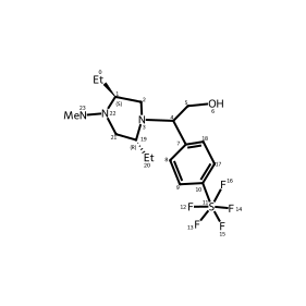 CC[C@H]1CN(C(CO)c2ccc(S(F)(F)(F)(F)F)cc2)[C@H](CC)CN1NC